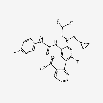 Cc1ccc(NC(=O)Nc2cc(-c3ccccc3C(=O)O)c(F)cc2N(CC(F)F)CC2CC2)cc1